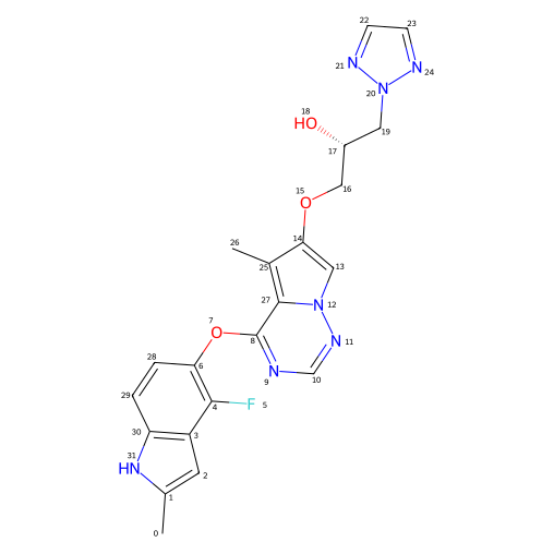 Cc1cc2c(F)c(Oc3ncnn4cc(OC[C@H](O)Cn5nccn5)c(C)c34)ccc2[nH]1